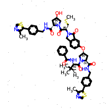 CSC[C@@H](C(=O)N1C[C@H](O)C[C@H]1C(=O)NCc1ccc(-c2scnc2C)cc1)N1Cc2ccc(O[C@@H]3C[C@@H](C(=O)NCc4ccc(-c5scnc5C)cc4)N(C(=O)[C@@H](NC(=O)c4ccccc4)C(C)(C)C)C3)cc2C1=O